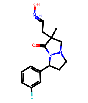 CC1(C/C=N/O)CN2CCC(c3cccc(F)c3)N2C1=O